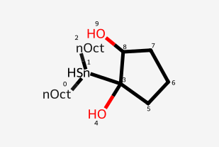 CCCCCCC[CH2][SnH]([CH2]CCCCCCC)[C]1(O)CCCC1O